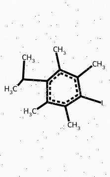 Cc1c(C)c(C(C)C)c(C)c(C)c1I